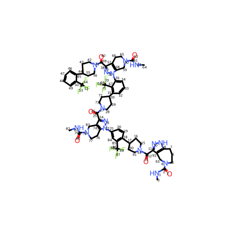 CNC(=O)N1CCCc2[nH]nc(C(=O)N3CCC(c4ccc(-n5nc(C(=O)N6CCC(c7cccc(-n8nc(C(=O)N9CCC(c%10ccccc%10C(F)(F)F)CC9)c9c8CN(C(=O)NC)CC9)c7C(F)(F)F)CC6)c6c5CCN(C(=O)NC)C6)cc4C(F)(F)F)CC3)c2C1